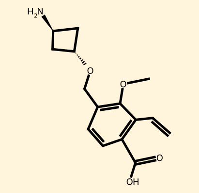 C=Cc1c(C(=O)O)ccc(CO[C@H]2C[C@H](N)C2)c1OC